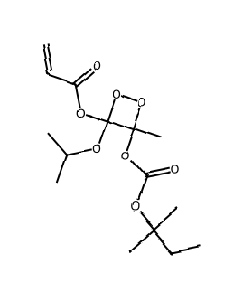 C=CC(=O)OC1(OC(C)C)OOC1(C)OC(=O)OC(C)(C)CC